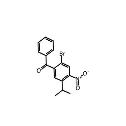 CC(C)c1cc(C(=O)c2ccccc2)c(Br)cc1[N+](=O)[O-]